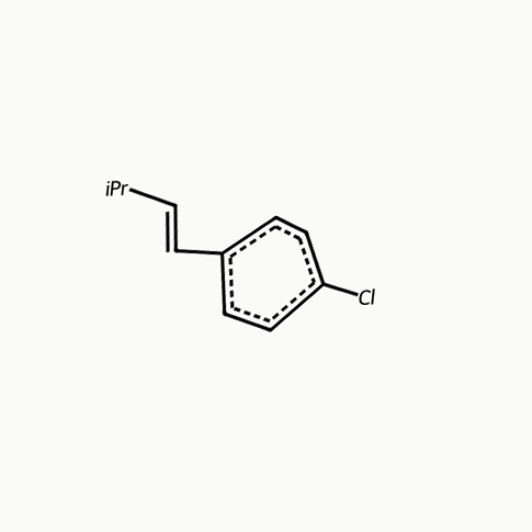 CC(C)/C=C/c1ccc(Cl)cc1